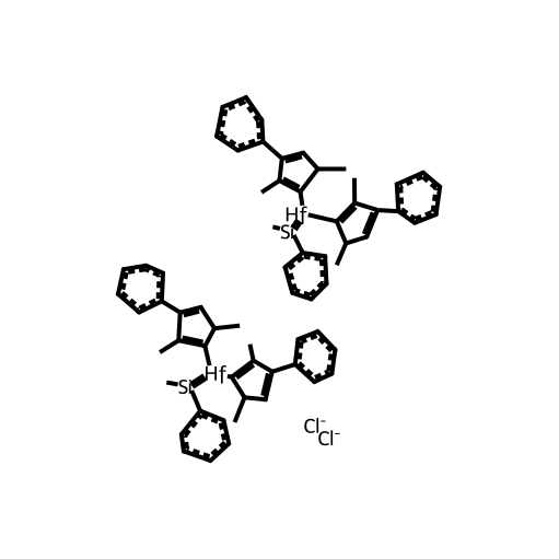 CC1=[C]([Hf]([C]2=C(C)C(c3ccccc3)=CC2C)=[Si](C)c2ccccc2)C(C)C=C1c1ccccc1.CC1=[C]([Hf]([C]2=C(C)C(c3ccccc3)=CC2C)=[Si](C)c2ccccc2)C(C)C=C1c1ccccc1.[Cl-].[Cl-]